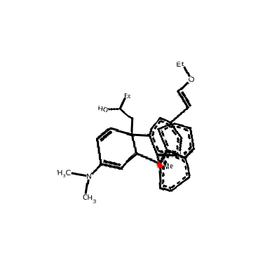 CCOC=Cc1cnc(OC)c(C2(CC(O)CC)C=CC(N(C)C)=CC2c2cccc3ccccc23)c1